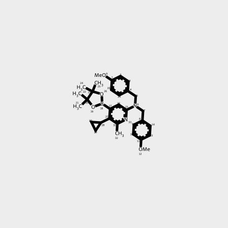 COc1ccc(CN(Cc2ccc(OC)cc2)c2cc(B3OC(C)(C)C(C)(C)O3)c(C3CC3)c(C)n2)cc1